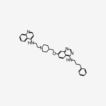 c1ccc(CCCNc2ncnc3cc(OCC4CCN(CCNc5ccnc6ccccc56)CC4)ccc23)cc1